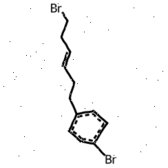 BrCCC=CCCc1ccc(Br)cc1